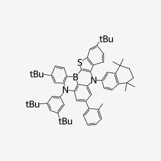 Cc1ccccc1-c1cc2c3c(c1)N(c1ccc4c(c1)C(C)(C)CCC4(C)C)c1c(sc4cc(C(C)(C)C)ccc14)B3c1ccc(C(C)(C)C)cc1N2c1cc(C(C)(C)C)cc(C(C)(C)C)c1